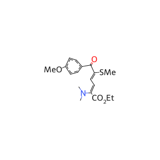 CCOC(=O)C(=CC=C(SC)C(=O)c1ccc(OC)cc1)N(C)C